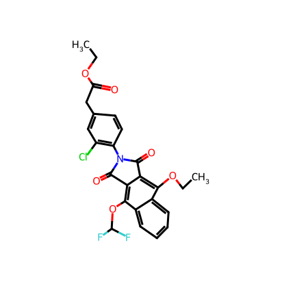 CCOC(=O)Cc1ccc(N2C(=O)c3c(c(OC(F)F)c4ccccc4c3OCC)C2=O)c(Cl)c1